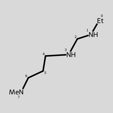 CCNCNCCCNC